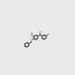 COc1cc(C(=O)c2cccc(F)c2)ccc1OCc1ccccc1